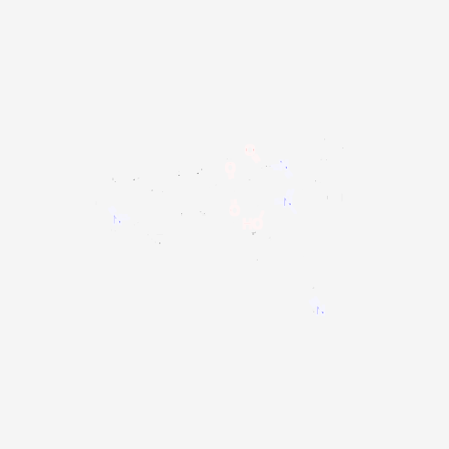 CCC(c1cccc(C#N)c1)n1c(CC2CC2)nc(=O)c(S(=O)(=O)c2ccc(-c3cccnc3C)cc2)c1O